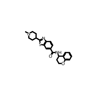 CN1CCC(c2nc3ccc(C(=O)NC4CCOc5ccccc54)cc3s2)CC1